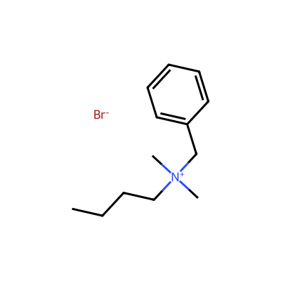 CCCC[N+](C)(C)Cc1ccccc1.[Br-]